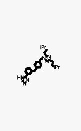 CC(C)CCc1nc(CCC(C)C)n(Cc2ccc(Cc3cccc(-c4nnn[nH]4)c3)cc2)n1